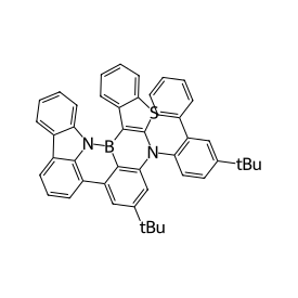 CC(C)(C)c1ccc(N2c3cc(C(C)(C)C)cc4c3B(c3c2sc2ccccc32)n2c3ccccc3c3cccc-4c32)c(-c2ccccc2)c1